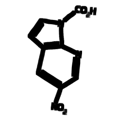 O=C(O)n1ccc2cc([N+](=O)[O-])cnc21